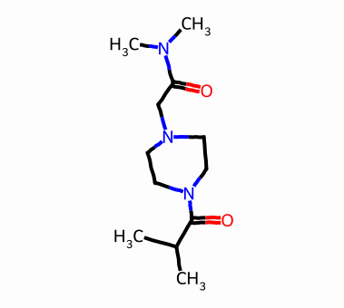 CC(C)C(=O)N1CCN(CC(=O)N(C)C)CC1